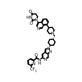 O=C1CCN(c2cncc3c(C4CCN(C[C@H]5CC[C@H](n6cc7cc(NC(=O)c8cccc(C(F)(F)F)n8)ncc7n6)CC5)CC4)cccc23)C(=O)N1